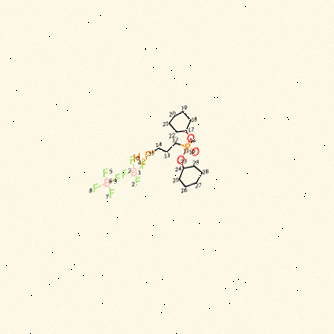 F[B-](F)(F)F.F[B-](F)(F)F.O=P(CCCP)(OC1CCCCC1)OC1CCCCC1